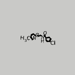 Cc1ccc(OCCNC(=O)c2ccc(Cl)cc2)nc1